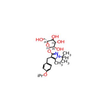 [2H]C(C)(C)n1nc(O[C@@H]2O[C@H](CO)[C@@H](O)[C@H](O)[C@H]2O)c(Cc2ccc(OC(C)C)cc2)c1C